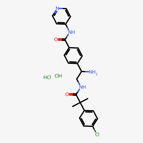 CC(C)(C(=O)NCC(N)c1ccc(C(=O)Nc2ccncc2)cc1)c1ccc(Cl)cc1.Cl.Cl